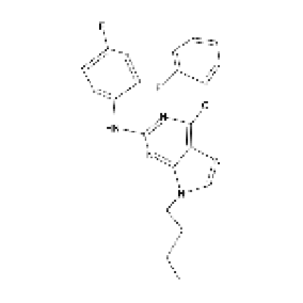 CCCCn1cnc2c(Oc3ccccc3F)nc(Nc3ccc(F)cc3)nc21